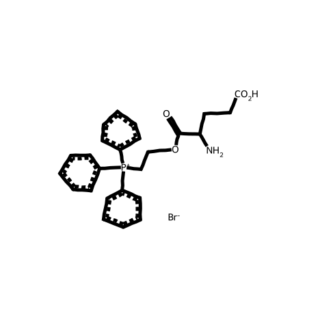 NC(CCC(=O)O)C(=O)OCC[P+](c1ccccc1)(c1ccccc1)c1ccccc1.[Br-]